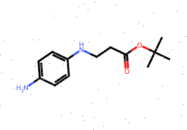 CC(C)(C)OC(=O)CCNc1ccc(N)cc1